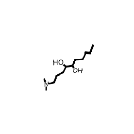 CCCCCC(O)C(O)CCCN(C)C